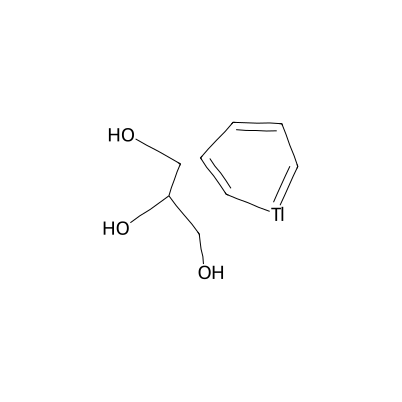 C1=C[CH]=[Tl][CH]=C1.OCC(O)CO